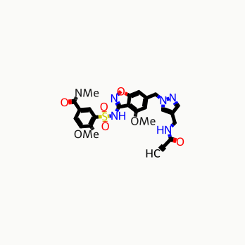 C#CC(=O)NCc1cnn(Cc2cc(OC)c3c(NS(=O)(=O)c4cc(C(=O)NC)ccc4OC)noc3c2)c1